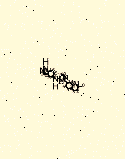 Cc1ccc2ccc(-c3nccc(Nc4ccc5[nH]ncc5c4)n3)cc2n1